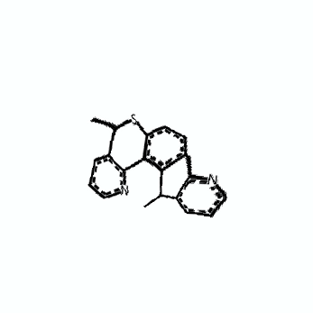 CC1Sc2ccc3c(c2-c2ncccc21)C(C)c1cccnc1-3